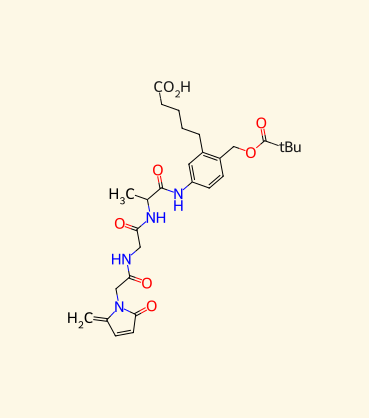 C=C1C=CC(=O)N1CC(=O)NCC(=O)NC(C)C(=O)Nc1ccc(COC(=O)C(C)(C)C)c(CCCCC(=O)O)c1